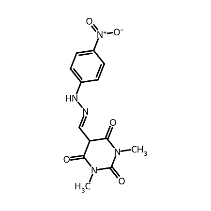 CN1C(=O)C(/C=N/Nc2ccc([N+](=O)[O-])cc2)C(=O)N(C)C1=O